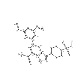 CCS(=O)(=O)N1CCC(c2c[nH]c3c(C(N)=O)cc(-c4cc(C=O)cc(C=O)c4)cc23)CC1